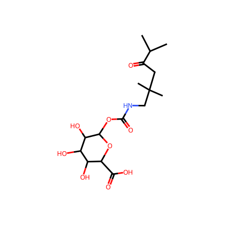 CC(C)C(=O)CC(C)(C)CNC(=O)OC1OC(C(=O)O)C(O)C(O)C1O